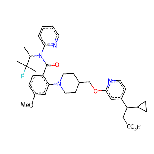 COc1ccc(C(=O)N(c2ccccn2)C(C)C(C)(C)F)c(N2CCC(COc3cc(C(CC(=O)O)C4CC4)ccn3)CC2)c1